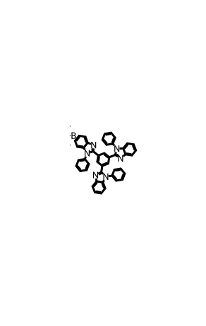 [B].c1ccc(-n2c(-c3cc(-c4nc5ccccc5n4-c4ccccc4)cc(-c4nc5ccccc5n4-c4ccccc4)c3)nc3ccccc32)cc1